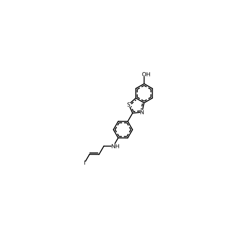 Oc1ccc2nc(-c3ccc(NC/C=C/I)cc3)sc2c1